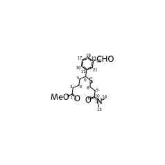 COC(=O)CCCC(SCCC(=O)N(C)C)c1cccc(C=O)c1